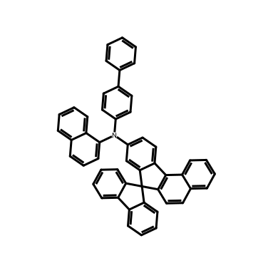 c1ccc(-c2ccc(N(c3ccc4c(c3)C3(c5ccccc5-c5ccccc53)c3ccc5ccccc5c3-4)c3cccc4ccccc34)cc2)cc1